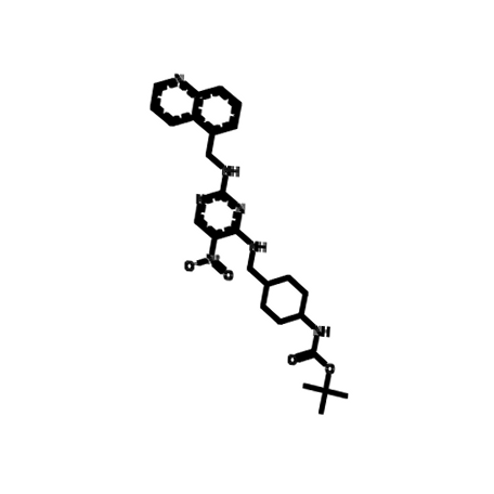 CC(C)(C)OC(=O)NC1CCC(CNc2nc(NCc3cccc4ncccc34)ncc2[N+](=O)[O-])CC1